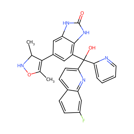 CC1=C(c2cc(C(O)(c3ccccn3)c3ccc4ccc(F)cc4n3)c3[nH]c(=O)[nH]c3c2)C(C)NO1